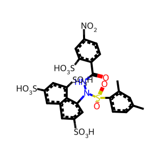 Cc1ccc(S(=O)(=O)N(NC(=O)c2ccc([N+](=O)[O-])cc2S(=O)(=O)O)c2cc(S(=O)(=O)O)cc3cc(S(=O)(=O)O)cc(S(=O)(=O)O)c23)c(C)c1